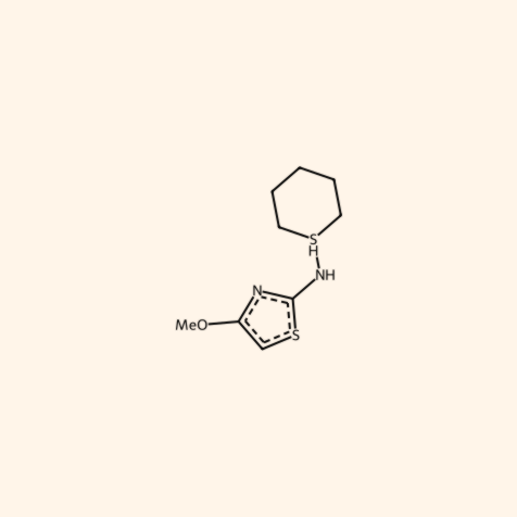 COc1csc(N[SH]2CCCCC2)n1